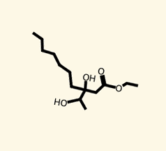 CCCCCCCC(O)(CC(=O)OCC)C(C)O